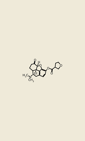 CC[C@]12c3c4ccc(OC(=O)C5CCOC5)c3O[C@H]1C(=O)CCC2[C@H](N(C)C)C4